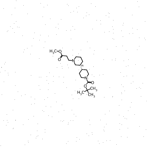 COC(=O)CCN1CCC[C@H](C2CCN(C(=O)OC(C)(C)C)CC2)C1